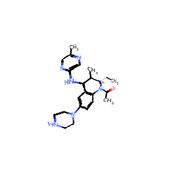 CC[C@H]1C(C)C(Nc2cnc(C)cn2)c2cc(N3CCNCC3)ccc2N1C(C)=O